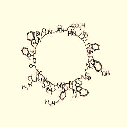 CCCC[C@H]1C(=O)N(C)CC(=O)N[C@@H](CC(=O)O)C(=O)N[C@@H](C(C)C)C(=O)N(C)[C@@H](Cc2ccccc2)C(=O)N[C@@H](Cc2ccc(O)cc2)C(=O)N(C)CC(=O)N[C@@H](Cc2c[nH]c3ccccc23)C(=O)N[C@@H](Cc2ccc(CN)cc2)C(=O)N[C@@H](CC(C)C)C(=O)N[C@H](C(=O)NCC(N)=O)CSCC(=O)N[C@@H](Cc2ccccc2)C(=O)N(C)[C@@H](Cc2ccccc2)C(=O)N1C